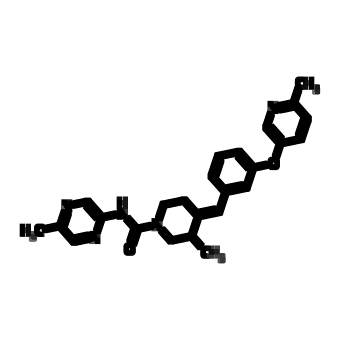 Cc1ccc(Oc2cccc(C=C3CCN(C(=O)Nc4cnc(C)cn4)CC3C)c2)cn1